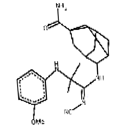 COc1cccc(NC(C)(C)/C(=N\C#N)NC2C3CC4CC2CC(C(N)=O)(C4)C3)c1